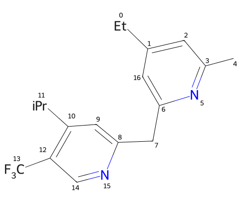 CCc1cc(C)nc(Cc2cc(C(C)C)c(C(F)(F)F)cn2)c1